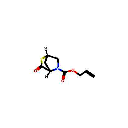 C=CCOC(=O)N1C[C@@H]2C[C@H]1C(=O)S2